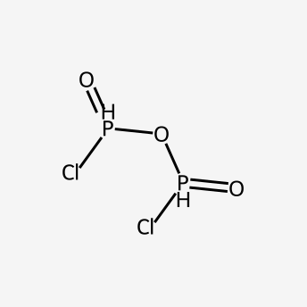 O=[PH](Cl)O[PH](=O)Cl